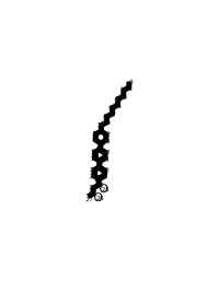 CCCCCCCCCCCC1CCC(c2ccc(-c3ccc(C(=O)CC(C)=O)cc3)cc2)CC1